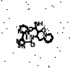 NC(=O)C(=O)C(Cc1ccccn1)NC(=O)c1nsnc1-c1ncccn1